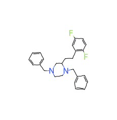 Fc1ccc(F)c(CCC2CN(Cc3ccccc3)CCN2Cc2ccccc2)c1